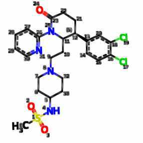 CS(=O)(=O)NC1CCN(CCC2[C@H](c3ccc(Cl)c(Cl)c3)CCC(=O)N2c2ccccn2)CC1